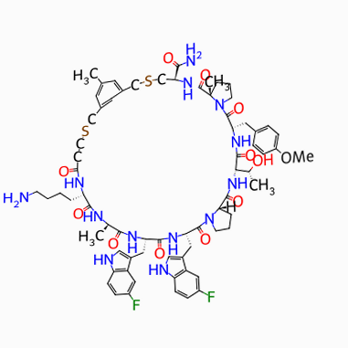 COc1ccc(C[C@@H]2NC(=O)[C@H]([C@@H](C)O)NC(=O)[C@@H]3CCCN3C(=O)[C@H](Cc3c[nH]c4ccc(F)cc34)NC(=O)[C@H](Cc3c[nH]c4ccc(F)cc34)NC(=O)[C@@H](C)NC(=O)[C@H](CCCCN)NC(=O)CCSCc3cc(C)cc(c3)CSC[C@@H](C(N)=O)NC(=O)[C@]3(C)CCCN3C2=O)cc1